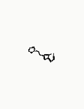 [c]1ccc2cc(CCN3CCCC3)cc-2o1